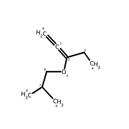 C=C=C(CC)OCC(C)C